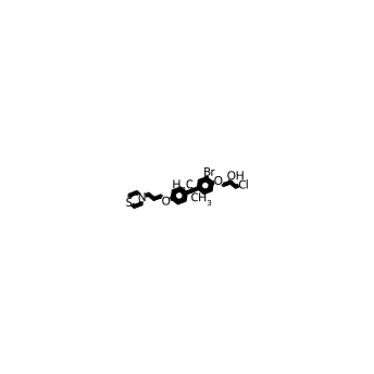 CC(C)(c1ccc(OCCCN2CCSCC2)cc1)c1ccc(OCC(O)CCl)c(Br)c1